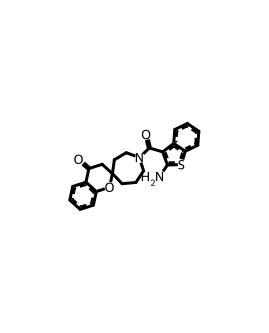 Nc1sc2ccccc2c1C(=O)N1CCCC2(CC1)CC(=O)c1ccccc1O2